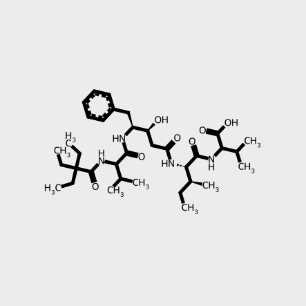 CC[C@H](C)[C@H](NC(=O)C[C@H](O)[C@H](Cc1ccccc1)NC(=O)C(NC(=O)C(CC)(CC)CC)C(C)C)C(=O)NC(C(=O)O)C(C)C